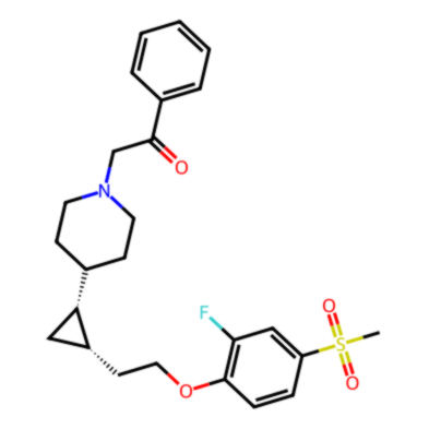 CS(=O)(=O)c1ccc(OCC[C@@H]2C[C@@H]2C2CCN(CC(=O)c3ccccc3)CC2)c(F)c1